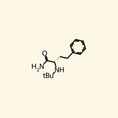 CC(C)(C)N[C@@H](CCc1ccccc1)C(N)=O